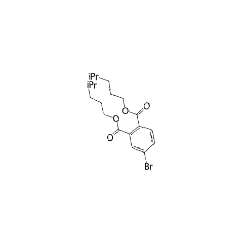 CC(C)CCCOC(=O)c1ccc(Br)cc1C(=O)OCCCC(C)C